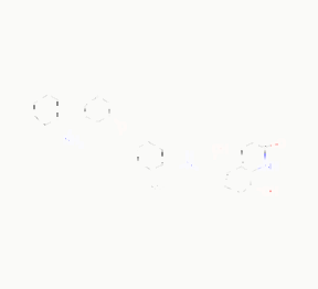 COc1cc(COc2cccc(C(N)c3ccccc3)c2)ccc1CNCC(O)c1ccc(O)c2[nH]c(=O)ccc12